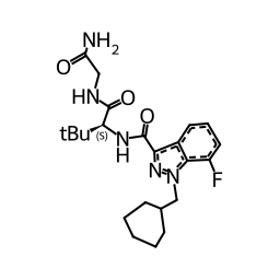 CC(C)(C)[C@H](NC(=O)c1nn(CC2CCCCC2)c2c(F)cccc12)C(=O)NCC(N)=O